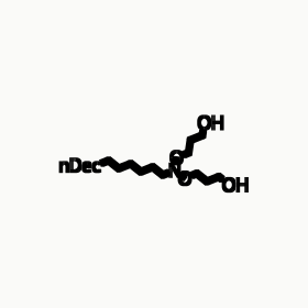 CCCCCCCCCCCCCCCCN(OCCCO)OCCCO